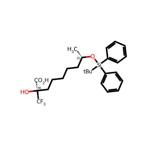 C[C@@H](CCCCC[C@@](O)(C(=O)O)C(F)(F)F)O[Si](c1ccccc1)(c1ccccc1)C(C)(C)C